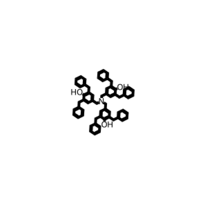 Oc1c(Cc2ccccc2)cc(CN(Cc2cc(Cc3ccccc3)c(O)c(Cc3ccccc3)c2)Cc2cc(Cc3ccccc3)c(O)c(Cc3ccccc3)c2)cc1Cc1ccccc1